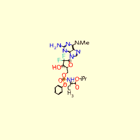 CNc1nc(N)nc2c1ncn2[C@@H]1OC(CO[P@](=O)(N[C@H](C)C(=O)OC(C)C)Oc2ccccc2)[C@@H](O)C1(F)F